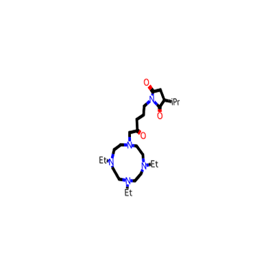 CCN1CCN(CC)CCN(CC(=O)CCCN2C(=O)CC(C(C)C)C2=O)CCN(CC)CC1